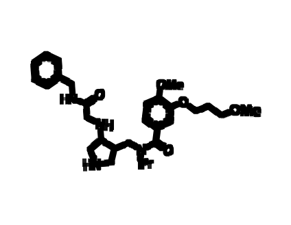 COCCCOc1cc(C(=O)N(CC2CNCC2NCC(=O)NCc2ccccc2)C(C)C)ccc1OC